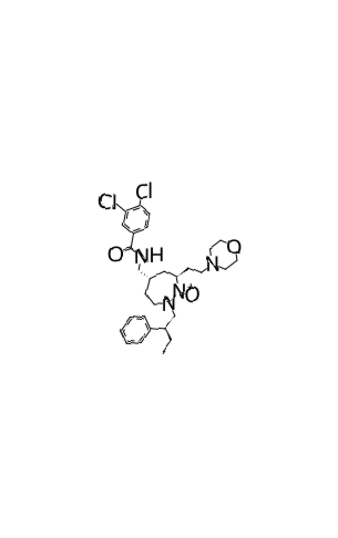 CC[C@H](CN1CC[C@H](CNC(=O)c2ccc(Cl)c(Cl)c2)C[C@@H](CCN2CCOCC2)[N+]1=O)c1ccccc1